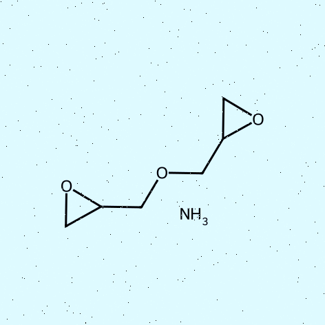 C(OCC1CO1)C1CO1.N